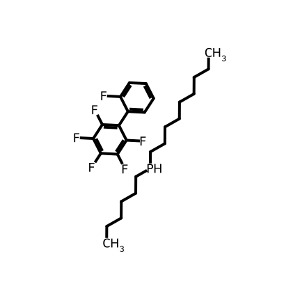 CCCCCCCCCPCCCCCC.Fc1ccccc1-c1c(F)c(F)c(F)c(F)c1F